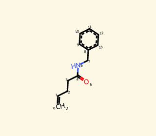 C=CCCC(=O)NCc1ccccc1